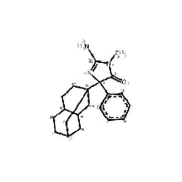 CN1C(=O)C(c2ccccc2)(C23CCC4CCC(CC4C2)C3)N=C1N